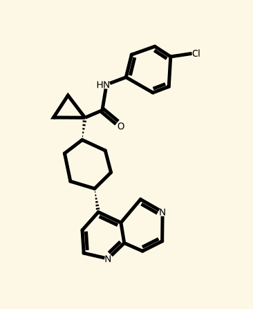 O=C(Nc1ccc(Cl)cc1)C1([C@H]2CC[C@@H](c3ccnc4ccncc43)CC2)CC1